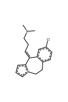 CN(C)CCC=C1c2cc(Cl)ccc2CCn2cccc21